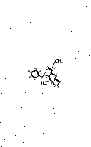 CCOC(=O)c1nc2ccnn2c(O)c1OCc1ccccc1